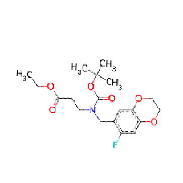 CCOC(=O)CCN(Cc1cc2c(cc1F)OCCO2)C(=O)OC(C)(C)C